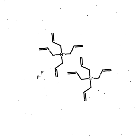 C=CC[N+](CC=C)(CC=C)CC=C.C=CC[N+](CC=C)(CC=C)CC=C.[F-].[F-]